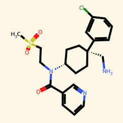 CS(=O)(=O)CCN(C(=O)c1cccnc1)[C@H]1CC[C@](CN)(c2cccc(Cl)c2)CC1